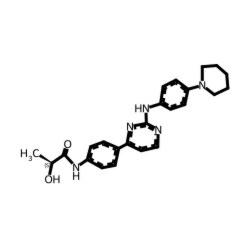 C[C@H](O)C(=O)Nc1ccc(-c2ccnc(Nc3ccc(N4CCCCC4)cc3)n2)cc1